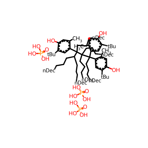 CCCCCCCCCCCCCC(CCCCCCCCCCCCC)C(CCCCCCCCCCCCC)(c1cc(C(C)(C)C)c(O)cc1C)C(CCCCCCCCCCCCC)(CCCCCCCCCCCCC)C(CCCCCCCCCCCCC)(c1cc(C(C)(C)C)c(O)cc1C)c1cc(C(C)(C)C)c(O)cc1C.O=P(O)(O)O.O=P(O)(O)O.O=P(O)(O)O